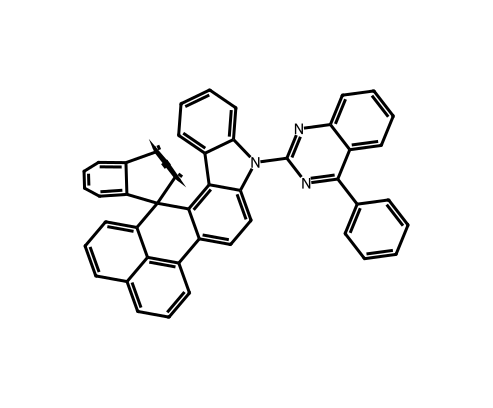 c1ccc(-c2nc(-n3c4ccccc4c4c5c(ccc43)-c3cccc4cccc(c34)C53c4ccccc4-c4ccccc43)nc3ccccc23)cc1